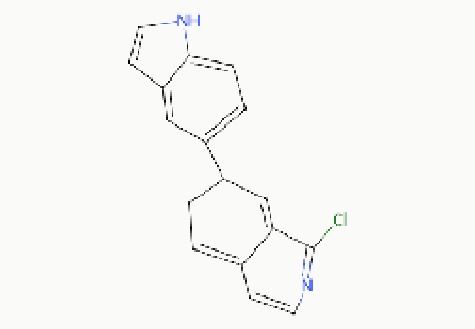 Clc1nccc2c1=CC(c1ccc3[nH]ccc3c1)CC=2